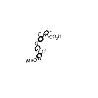 COc1cc(N2CCC(Oc3ccc(N4C[C@H](C)[C@@H](C)[C@@H]4CC(=O)O)c(F)c3)CC2)c(Cl)cn1